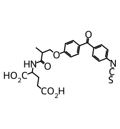 CC(COc1ccc(C(=O)c2ccc(N=C=S)cc2)cc1)C(=O)NC(CCC(=O)O)C(=O)O